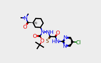 CN(C)C(=O)[C@H]1CCCC(N(NC(=S)C(=O)Nc2ncc(Cl)cn2)C(=O)OC(C)(C)C)C1